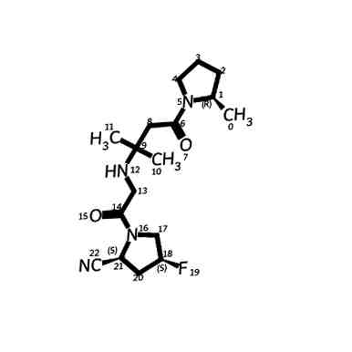 C[C@@H]1CCCN1C(=O)CC(C)(C)NCC(=O)N1C[C@@H](F)C[C@H]1C#N